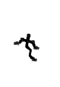 CCCOP(=O)(CCCC(C)=O)OCCC